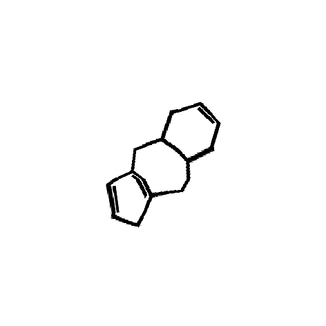 [CH]1C=CC2=C1CC1CC=CCC1C2